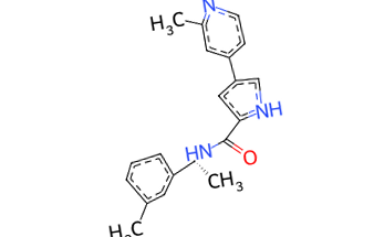 Cc1cccc([C@@H](C)NC(=O)c2cc(-c3ccnc(C)c3)c[nH]2)c1